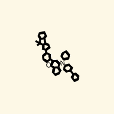 CC1(C)c2ccccc2-c2ccc(-c3ccc4oc5c6ccccc6c(N(c6ccccc6)c6ccc(-c7ccccc7)cc6)cc5c4c3)cc21